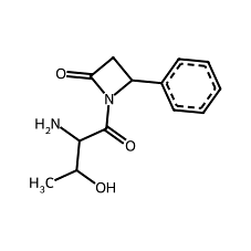 CC(O)C(N)C(=O)N1C(=O)CC1c1ccccc1